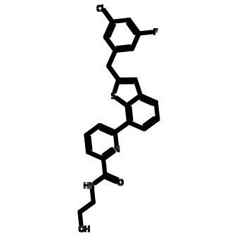 O=C(NCCO)c1cccc(-c2cccc3cc(Cc4cc(F)cc(Cl)c4)sc23)n1